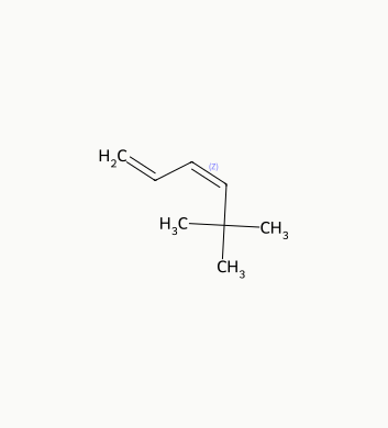 C=C/C=C\C(C)(C)C